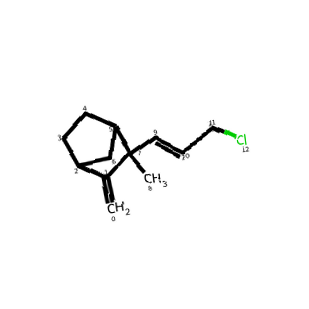 C=C1C2CCC(C2)C1(C)C=CCCl